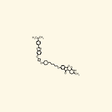 C=C1CCC(N2C(=O)c3ccc(OCCCCCN4CCC(O[C@H]5C[C@H](Oc6ccc7nc(-c8ccc(N(C)C)cc8)sc7c6)C5)CC4)cc3C2=O)C(=O)N1